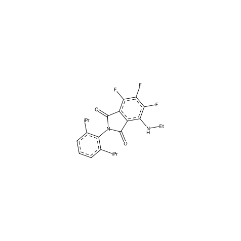 CCNc1c(F)c(F)c(F)c2c1C(=O)N(c1c(C(C)C)cccc1C(C)C)C2=O